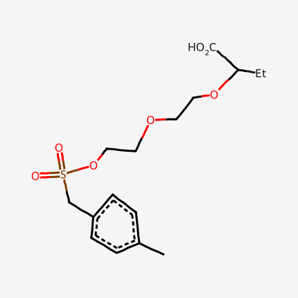 CCC(OCCOCCOS(=O)(=O)Cc1ccc(C)cc1)C(=O)O